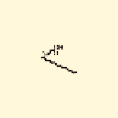 CCCCCCCCCCCCC(C)N(C)CCC(=O)O